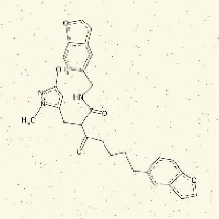 Cc1cc(CC(C(=O)CCCCc2ccc3occc3c2)C(=O)NCc2ccc3occc3c2)n(C)n1